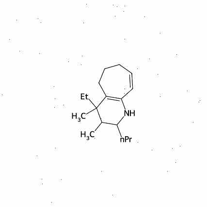 CCCC1NC2=C(CCCC=C2)C(C)(CC)C1C